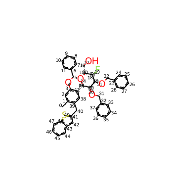 Cc1cc(OCc2ccccc2)c([C@@H]2O[C@H](CO)[C@@H](F)[C@H](OCc3ccccc3)[C@H]2OCc2ccccc2)cc1Cc1cc2ccccc2s1